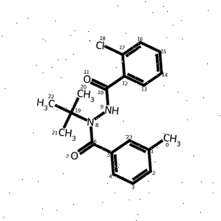 Cc1cccc(C(=O)N(NC(=O)c2ccccc2Cl)C(C)(C)C)c1